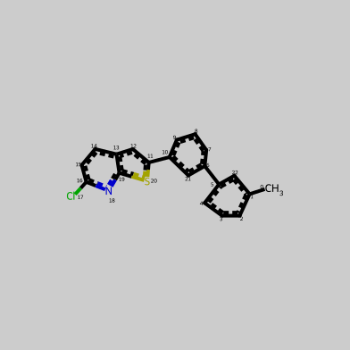 Cc1cccc(-c2cccc(-c3cc4ccc(Cl)nc4s3)c2)c1